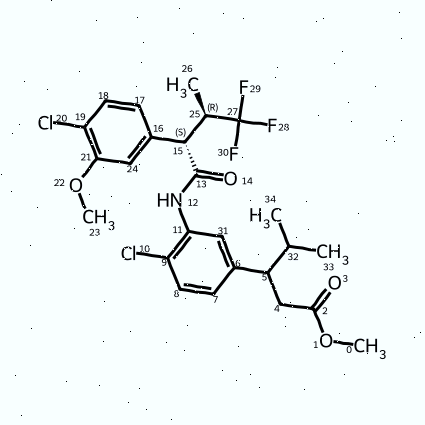 COC(=O)CC(c1ccc(Cl)c(NC(=O)[C@H](c2ccc(Cl)c(OC)c2)[C@@H](C)C(F)(F)F)c1)C(C)C